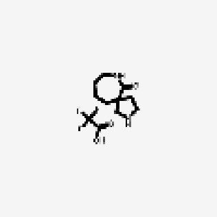 O=C(O)C(F)(F)F.O=C1NCCCCC12CCNC2